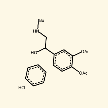 CC(=O)Oc1ccc(C(O)CNC(C)(C)C)cc1OC(C)=O.Cl.c1ccccc1